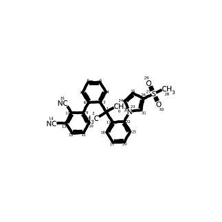 CC(C)(c1ccccc1-c1cccc(C#N)c1C#N)c1ccccc1-n1ccc(S(C)(=O)=O)c1